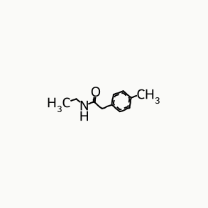 CCNC(=O)Cc1ccc(C)cc1